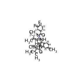 CCC[C@H](C)N/C(=N/C(=O)c1ccc(F)c(F)c1)Nc1nn(C(=O)C(NCl)C(C)C)c2cc(C)ccc12